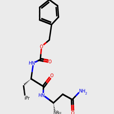 CCCC[C@@H](CC(N)=O)NC(=O)[C@H](CC(C)C)NC(=O)OCc1ccccc1